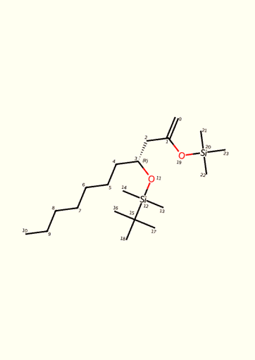 C=C(C[C@@H](CCCCCCC)O[Si](C)(C)C(C)(C)C)O[Si](C)(C)C